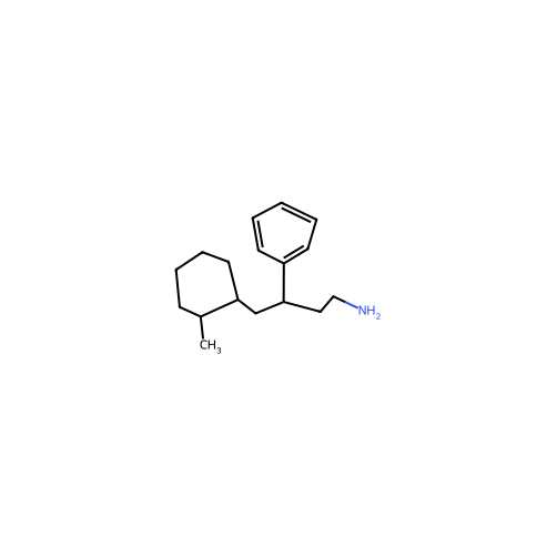 CC1CCCCC1CC(CCN)c1ccccc1